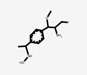 COC(c1ccc(C(C)NO)cc1)C(N)CF